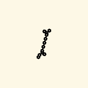 c1ccc(-n2c3ccccc3c3cc(-c4ccc(-c5ccc(-c6ccc(-c7ccc8c(c7)c7ccccc7n8-c7ccc8ccccc8c7)cc6)cc5)cc4)ccc32)cc1